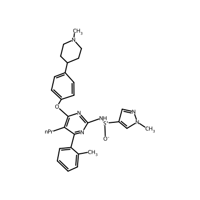 CCCc1c(Oc2ccc(C3CCN(C)CC3)cc2)nc(N[S+]([O-])c2cnn(C)c2)nc1-c1ccccc1C